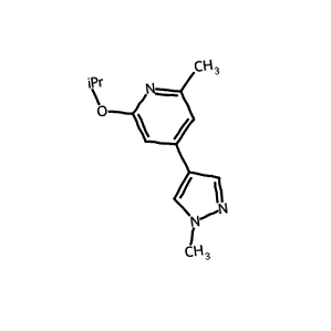 Cc1cc(-c2cnn(C)c2)cc(OC(C)C)n1